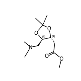 COC(=O)C[C@H]1OC(C)(C)O[C@@H]1CN(C)C